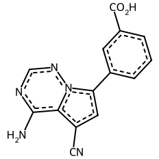 N#Cc1cc(-c2cccc(C(=O)O)c2)n2ncnc(N)c12